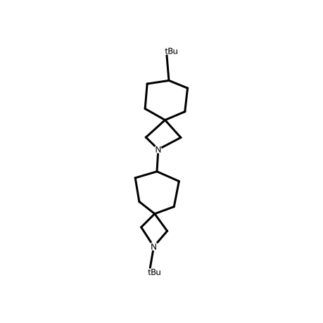 CC(C)(C)C1CCC2(CC1)CN(C1CCC3(CC1)CN(C(C)(C)C)C3)C2